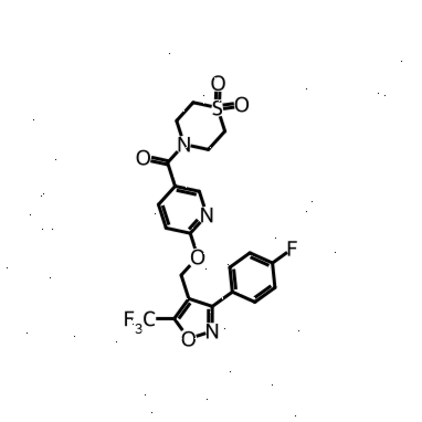 O=C(c1ccc(OCc2c(-c3ccc(F)cc3)noc2C(F)(F)F)nc1)N1CCS(=O)(=O)CC1